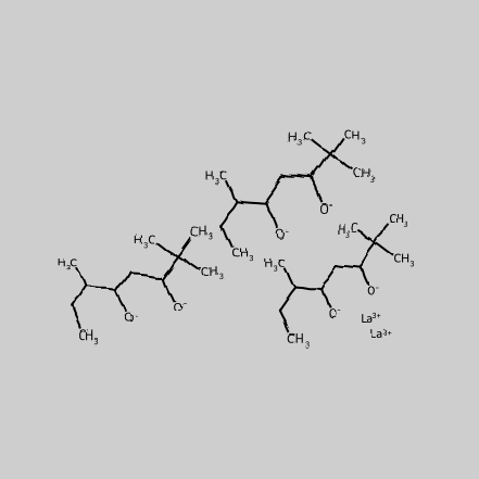 CCC(C)C([O-])CC([O-])C(C)(C)C.CCC(C)C([O-])CC([O-])C(C)(C)C.CCC(C)C([O-])CC([O-])C(C)(C)C.[La+3].[La+3]